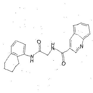 O=C(CNC(=O)c1cnc2ccccc2c1)Nc1cccc2c1CCCC2